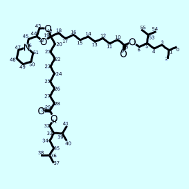 CC(C)CCC(COC(=O)CCCCCCCCCC1(CCCCCCCCCC(=O)OCC(CCC(C)C)C(C)C)OCC(CN2CCCCC2)O1)C(C)C